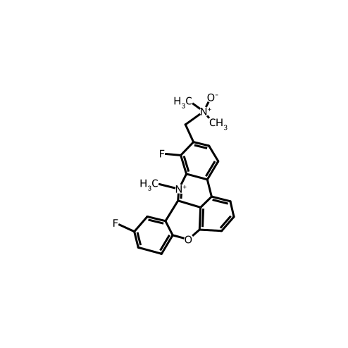 C[n+]1c2c3c(cccc3c3ccc(C[N+](C)(C)[O-])c(F)c31)Oc1ccc(F)cc1-2